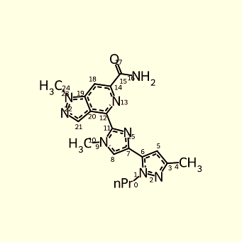 CCCn1nc(C)cc1-c1cn(C)c(-c2nc(C(N)=O)cc3c2cnn3C)n1